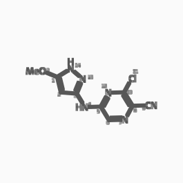 COc1cc(Nc2cnc(C#N)c(Cl)n2)n[nH]1